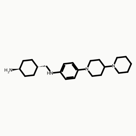 N[C@H]1CC[C@H](CNc2ccc(N3CCC(N4CCCCC4)CC3)cc2)CC1